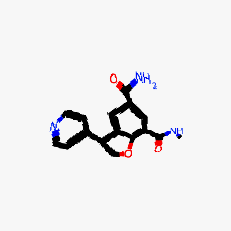 CNC(=O)c1cc(C(N)=O)cc2c1OCC2c1ccncc1